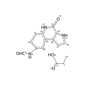 CCC(=O)O.O=CNc1ccc2[nH]c(=O)c3[nH]ccc3c2c1